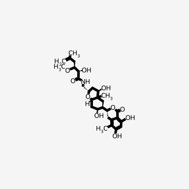 C=C(C)C[C@H](OC)[C@H](O)C(=O)NC[C@@H]1C[C@@H](O)C2(C)C[C@@H]([C@H]3Cc4c(C)c(O)cc(O)c4C(=O)O3)[C@@H](O)C[C@H]2O1